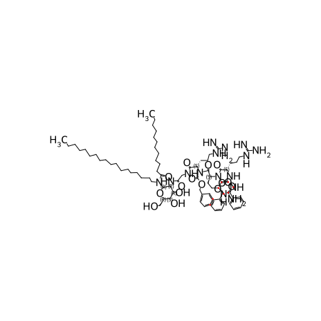 CCCCCCCCCCCCCCCCCCN(C(=O)CCCCCCCCCCC)[C@@H]1O[C@H](CO)[C@@H](O)[C@H](O)[C@H]1NC(=O)CNC(=O)[C@H](CCCNC(=N)N)N(C(=O)OCc1ccccc1)C(=O)[C@H](CCCNC(=N)N)N(C(=O)OCc1ccccc1)C(=O)[C@H](CCCNC(=N)N)NC(=O)OCc1ccccc1